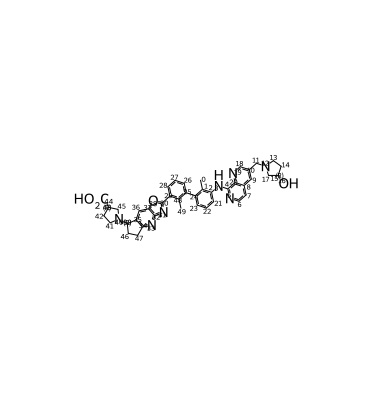 Cc1c(Nc2nccc3cc(CN4CC[C@@H](O)C4)cnc23)cccc1-c1cccc(-c2nc3nc4c(cc3o2)[C@H](N2CC[C@@H](C(=O)O)C2)CC4)c1C